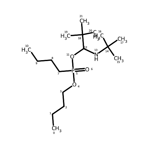 CCCCOP(=O)(CCCC)OC(NC(C)(C)C)C(C)(C)C